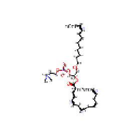 CCCCC/C=C\C/C=C\C/C=C\C/C=C\CCCC(=O)O[C@H](COCCCCCCCC/C=C\CCCCCCCC)COP(=O)([O-])OCC[N+](C)(C)C